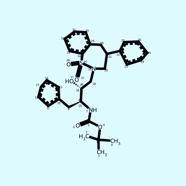 CC(C)(C)OC(=O)N[C@@H](Cc1ccccc1)[C@H](O)CN1CC(c2ccccc2)Cc2ccccc2S1(=O)=O